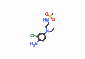 CCN(CCNS(C)(=O)=O)c1ccc(N)c(Cl)c1